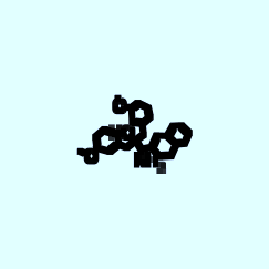 COc1cccc(CC(O)(Cc2cccc(OC)c2)C(N)c2ccc3ccccc3c2)c1